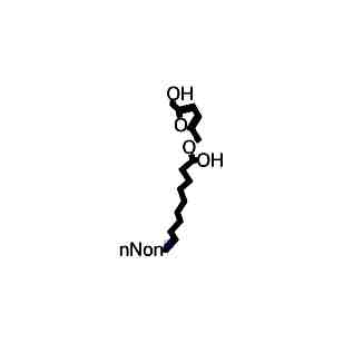 CCCCCCCCC/C=C\CCCCCCCC(O)OCc1ccc(CO)o1